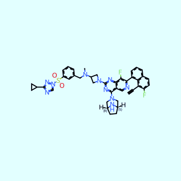 C#Cc1c(F)ccc2cccc(-c3ncc4c(N5C[C@H]6CC[C@@H](C5)N6)nc(N5CC(N(C)Cc6cccc(S(=O)(=O)n7cnc(C8CC8)n7)c6)C5)nc4c3F)c12